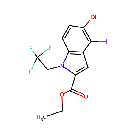 CCOC(=O)c1cc2c(I)c(O)ccc2n1CC(F)(F)F